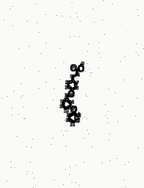 COC(=O)CCc1ccc(OCc2cccc(Oc3ccccn3)c2)cc1